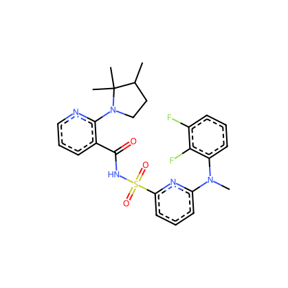 CC1CCN(c2ncccc2C(=O)NS(=O)(=O)c2cccc(N(C)c3cccc(F)c3F)n2)C1(C)C